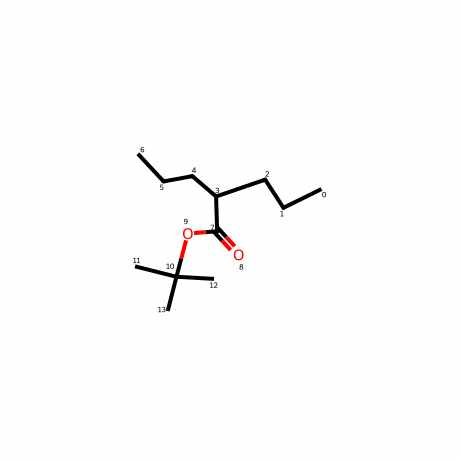 CCCC(CCC)C(=O)OC(C)(C)C